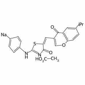 CC(=O)O.CC(C)c1ccc2occ(/C=C3/SC(Nc4cc[c]([Na])cc4)=NC3=O)c(=O)c2c1